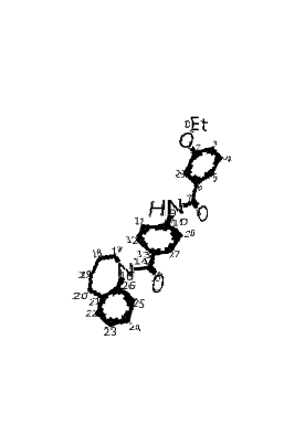 CCOc1cccc(C(=O)Nc2ccc(C(=O)N3CCCCc4ccccc43)cc2)c1